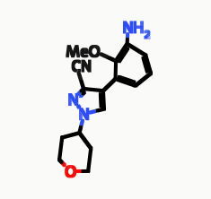 COc1c(N)cccc1-c1cn(C2CCOCC2)nc1C#N